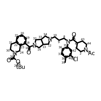 CC(=O)N1CCC(C(=O)N(CCCN2CC3CN(C(=O)c4cccc5c4CN(C(=O)OC(C)(C)C)CC5)CC3C2)c2ccc(C)c(Cl)c2)CC1